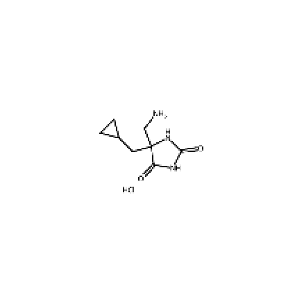 Cl.NCC1(CC2CC2)NC(=O)NC1=O